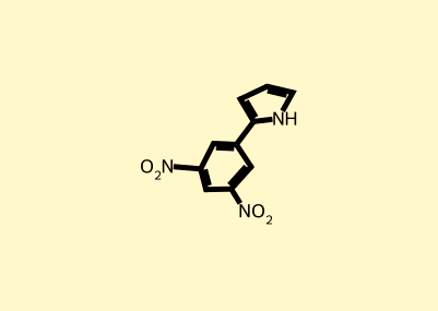 O=[N+]([O-])c1cc(-c2ccc[nH]2)cc([N+](=O)[O-])c1